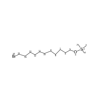 C[Si](C)(C)OCCCCCCCCCCCBr